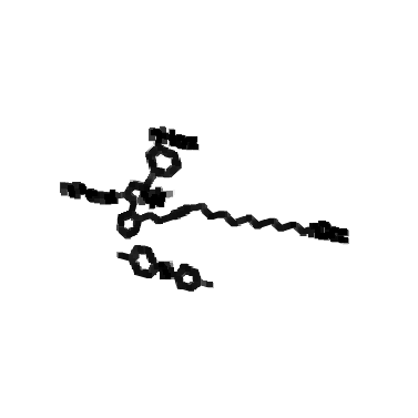 CCCCCCCCCCCCCCCCCCCCC#CCCc1ccccc1C1=C(CCCCC)C=C(c2cccc(CCCCCC)c2)[N+]1=[N-].Cc1cc[c]([Ni][c]2ccc(C)cc2)cc1